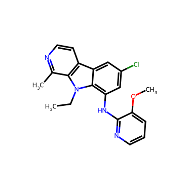 CCn1c2c(Nc3ncccc3OC)cc(Cl)cc2c2ccnc(C)c21